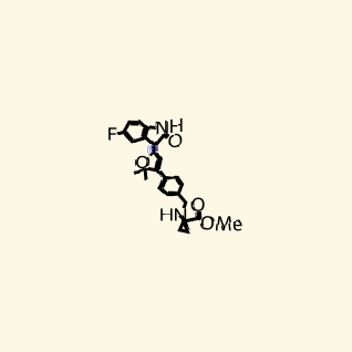 COC(=O)C1(NCc2ccc(C3=C/C(=C4\C(=O)Nc5ccc(F)cc54)OC3(C)C)cc2)CC1